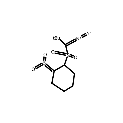 CC(C)(C)C(=[N+]=[N-])S(=O)(=O)C1CCCCC1=S(=O)=O